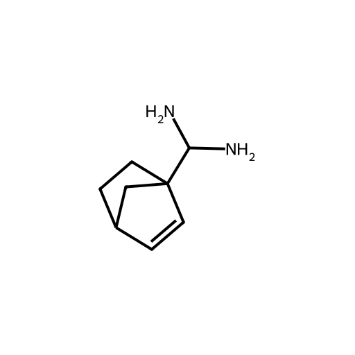 NC(N)C12C=CC(CC1)C2